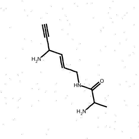 C#CC(N)C=CCNC(=O)C(C)N